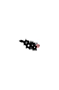 C#CC1CC[C@@]2(C)C(CC[C@@H]3[C@H]2CC[C@]2(C)C(=O)CC[C@@H]32)C1